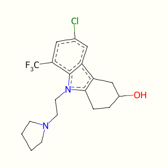 OC1CCc2c(c3cc(Cl)cc(C(F)(F)F)c3n2CCN2CCCC2)C1